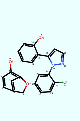 Oc1ccc2cc1OC2.Oc1ccccc1-c1ccnn1-c1ccccc1Cl